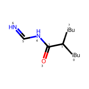 CCC(C)C(C(=O)NC=N)C(C)CC